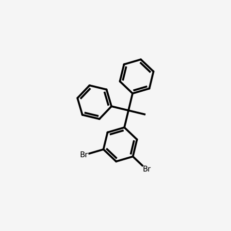 CC(c1ccccc1)(c1ccccc1)c1cc(Br)cc(Br)c1